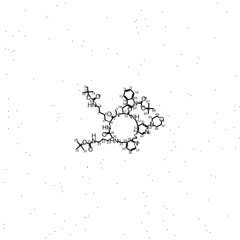 CN1C(=O)[C@H](CCCCNC(=O)OC(C)(C)C)NC(=O)[C@H](CCCNC(=O)OC(C)(C)C)NCc2cccnc2Sc2cnc(N3CCOCC3)cc2CNC(=O)[C@@H]1Cc1cn(C(=O)OC(C)(C)C)c2ccccc12